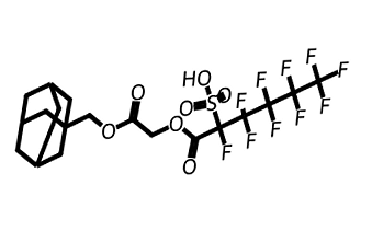 O=C(COC(=O)C(F)(C(F)(F)C(F)(F)C(F)(F)C(F)(F)F)S(=O)(=O)O)OCC12CC3CC(CC(C3)C1)C2